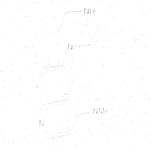 CNc1ccnc2ccc(N3CCNCC3)cc12